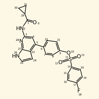 O=C(Nc1cc(-c2ccc(OS(=O)(=O)c3ccc(F)cc3)cc2)c2cc[nH]c2n1)C1CC1